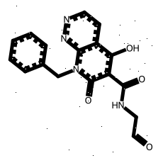 O=CCNC(=O)c1c(O)c2ccnnc2n(Cc2ccccc2)c1=O